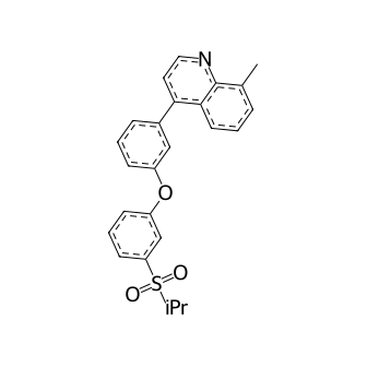 Cc1cccc2c(-c3cccc(Oc4cccc(S(=O)(=O)C(C)C)c4)c3)ccnc12